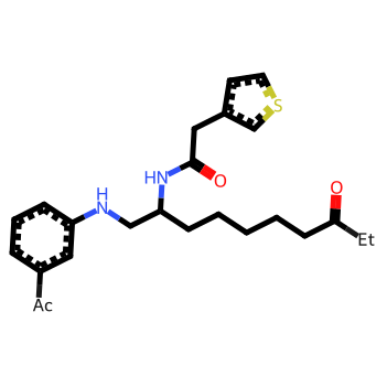 CCC(=O)CCCCCC(CNc1cccc(C(C)=O)c1)NC(=O)Cc1ccsc1